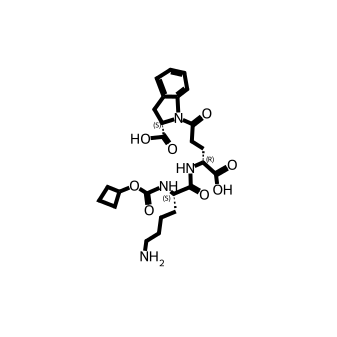 NCCCC[C@H](NC(=O)OC1CCC1)C(=O)N[C@H](CCC(=O)N1c2ccccc2C[C@H]1C(=O)O)C(=O)O